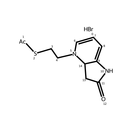 Br.CC(=O)SCCN1C=CC=C2NC(=O)CC21